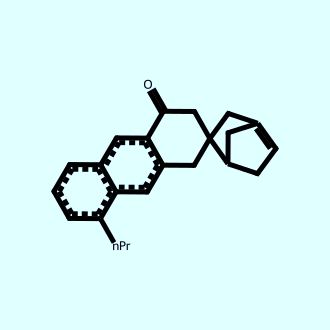 CCCc1cccc2cc3c(cc12)CC1(CC3=O)CC2=CCC1C2